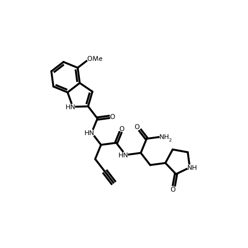 C#CCC(NC(=O)c1cc2c(OC)cccc2[nH]1)C(=O)NC(CC1CCNC1=O)C(N)=O